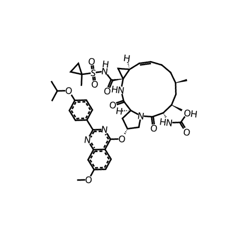 COc1ccc2c(O[C@@H]3C[C@H]4C(=O)N[C@]5(C(=O)NS(=O)(=O)C6(C)CC6)C[C@H]5C=CCC[C@@H](C)C[C@@H](C)[C@H](NC(=O)O)C(=O)N4C3)nc(-c3ccc(OC(C)C)cc3)nc2c1